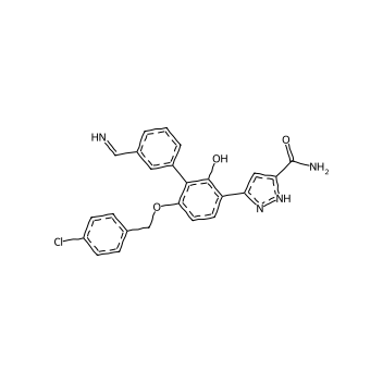 N=Cc1cccc(-c2c(OCc3ccc(Cl)cc3)ccc(-c3cc(C(N)=O)[nH]n3)c2O)c1